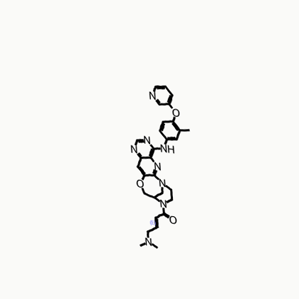 Cc1cc(Nc2ncnc3cc4c(nc23)N2CCN(C(=O)/C=C/CN(C)C)C(CO4)C2)ccc1Oc1cccnc1